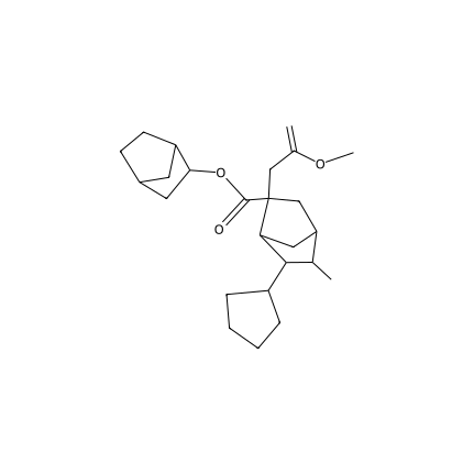 C=C(CC1(C(=O)OC2CC3CCC2C3)CC2CC1C(C1CCCC1)C2C)OC